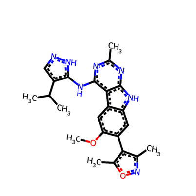 COc1cc2c(cc1-c1c(C)noc1C)[nH]c1nc(C)nc(Nc3[nH]ncc3C(C)C)c12